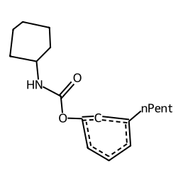 CCCCCc1cccc(OC(=O)NC2CCCCC2)c1